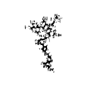 C[C@H](CCC(=O)N[C@@H](CC(=O)O)C(=O)N[C@@H](CCCNC(=N)N)C(=O)N[C@@H](CC(=O)O)C(=O)N[C@H](CC(=O)O)C(=O)N[C@H](CS)C(=O)O)NC(=O)c1ccc(NCc2cnc3nc(N)[nH]c(=O)c3n2)cc1